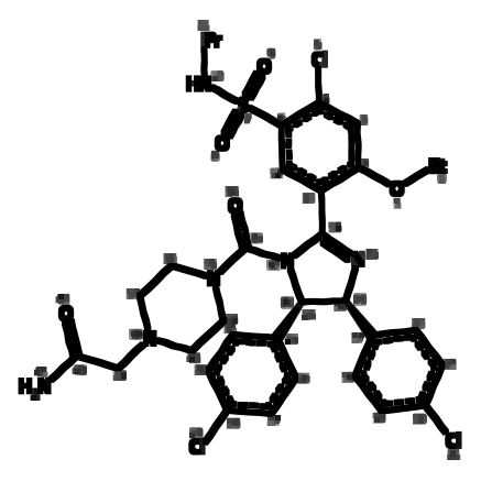 CCOc1cc(Cl)c(S(=O)(=O)NC(C)C)cc1C1=N[C@@H](c2ccc(Cl)cc2)[C@@H](c2ccc(Cl)cc2)N1C(=O)N1CCN(CC(N)=O)CC1